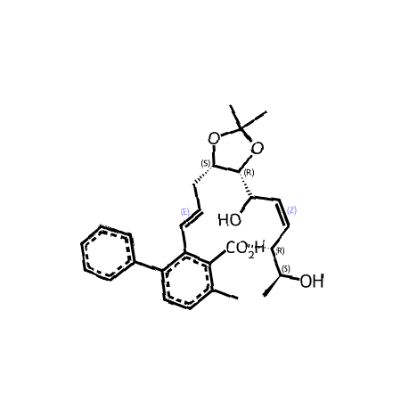 Cc1ccc(-c2ccccc2)c(/C=C/C[C@@H]2OC(C)(C)O[C@@H]2C(O)/C=C\[C@@H](C)[C@H](C)O)c1C(=O)O